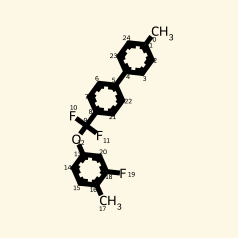 Cc1ccc(-c2ccc(C(F)(F)Oc3ccc(C)c(F)c3)cc2)cc1